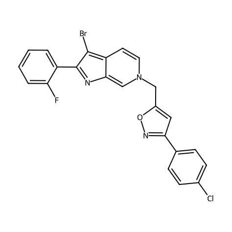 Fc1ccccc1-c1nc2cn(Cc3cc(-c4ccc(Cl)cc4)no3)ccc-2c1Br